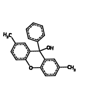 Cc1ccc2c(c1)C(O)(c1ccccc1)c1cc(C)ccc1O2